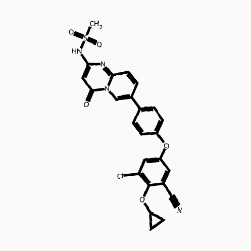 CS(=O)(=O)Nc1cc(=O)n2cc(-c3ccc(Oc4cc(Cl)c(OC5CC5)c(C#N)c4)cc3)ccc2n1